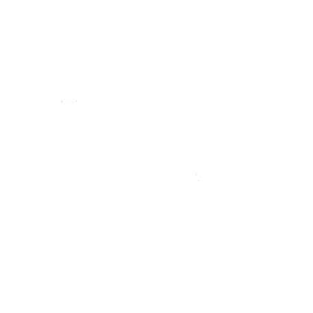 CCCC/C=C/OC1CCCC(C2CCC(CCCCCC)CC2)C1